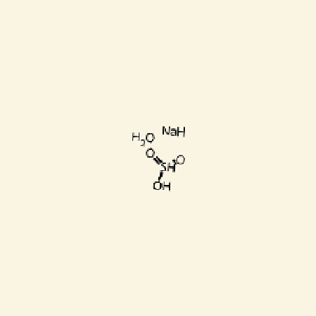 O.O=[SH](=O)O.[NaH]